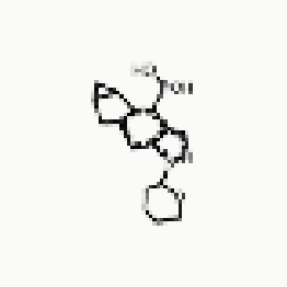 OB(O)c1c2c(cc3c1cnn3C1CCCCO1)CC1CC21